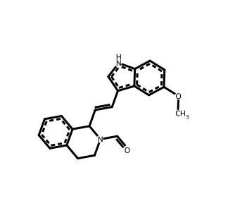 COc1ccc2[nH]cc(C=CC3c4ccccc4CCN3C=O)c2c1